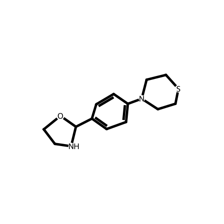 c1cc(N2CCSCC2)ccc1C1NCCO1